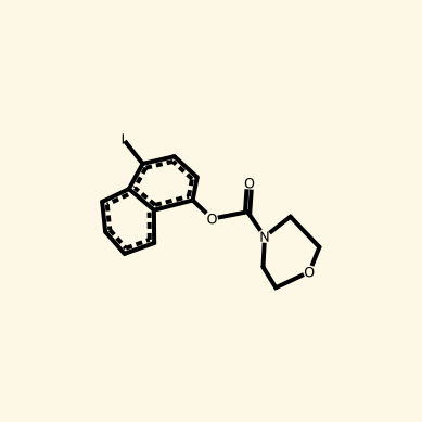 O=C(Oc1ccc(I)c2ccccc12)N1CCOCC1